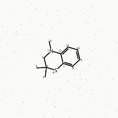 [CH2]N1CC(C)(C)Sc2ccccc21